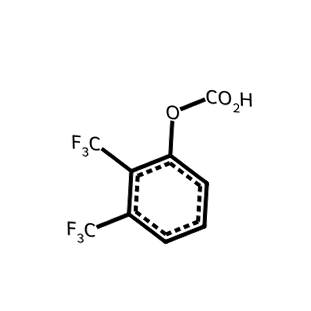 O=C(O)Oc1cccc(C(F)(F)F)c1C(F)(F)F